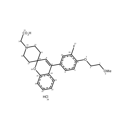 COCCOc1ccc(C2=CC3(CCN(CC(=O)O)CC3)Oc3ccccc32)cc1F.Cl